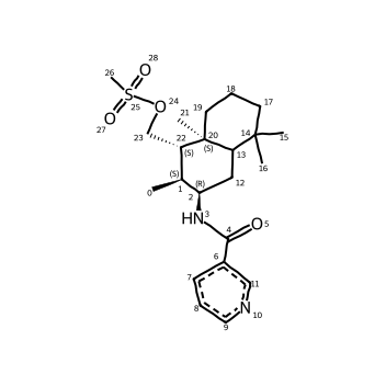 C[C@@H]1[C@H](NC(=O)c2cccnc2)CC2C(C)(C)CCC[C@]2(C)[C@H]1COS(C)(=O)=O